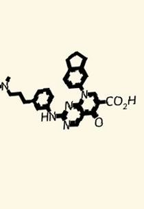 CN(C)CCCc1cccc(Nc2ncc3c(=O)c(C(=O)O)cn(-c4ccc5c(c4)CCC5)c3n2)c1